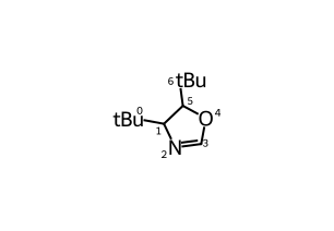 CC(C)(C)C1N=COC1C(C)(C)C